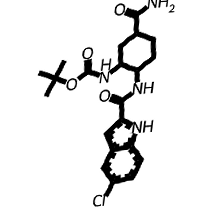 CC(C)(C)OC(=O)NC1CC(C(N)=O)CCC1NC(=O)c1cc2cc(Cl)ccc2[nH]1